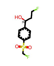 O=S(=O)(CF)c1ccc([C@@H](O)CCF)cc1